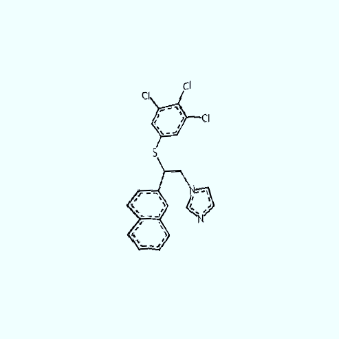 Clc1cc(SC(Cn2ccnc2)c2ccc3ccccc3c2)cc(Cl)c1Cl